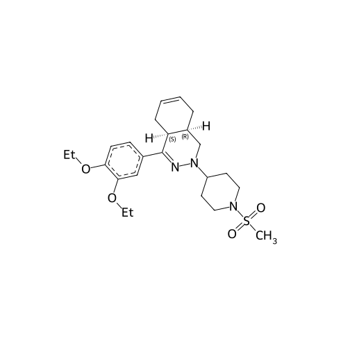 CCOc1ccc(C2=NN(C3CCN(S(C)(=O)=O)CC3)C[C@@H]3CC=CC[C@H]23)cc1OCC